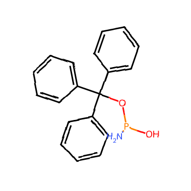 NP(O)OC(c1ccccc1)(c1ccccc1)c1ccccc1